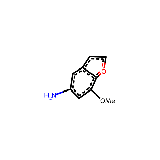 COc1cc(N)cc2ccoc12